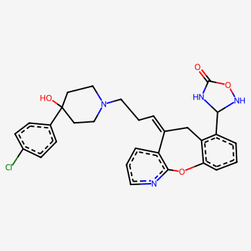 O=C1NC(c2cccc3c2C/C(=C/CCN2CCC(O)(c4ccc(Cl)cc4)CC2)c2cccnc2O3)NO1